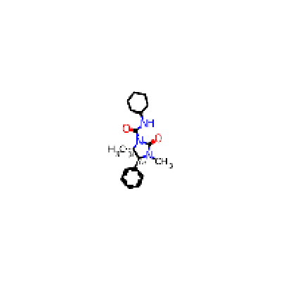 C[C@H]1[C@H](c2ccccc2)N(C)C(=O)N1C(=O)NC1CCCCC1